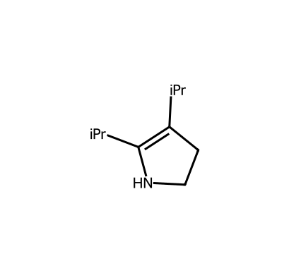 CC(C)C1=C(C(C)C)NCC1